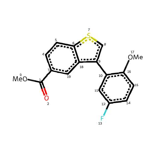 COC(=O)c1ccc2scc(-c3cc(F)ccc3OC)c2c1